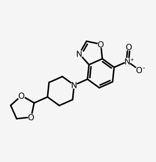 O=[N+]([O-])c1ccc(N2CCC(C3OCCO3)CC2)c2ncoc12